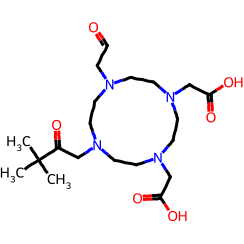 CC(C)(C)C(=O)CN1CCN(CC=O)CCN(CC(=O)O)CCN(CC(=O)O)CC1